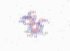 CCCC[C@@H](C(=O)N1C[C@H](O)C[C@@H]1C(=O)N[C@@H](CC(=O)O)C(=O)N[C@H](C(=O)N(C)[C@@H](Cc1ccccc1)C(=O)N[C@@H](CCCCN)C(=O)N1CC[C@@H](O)C1)C(C)C)N(C)C(=O)[C@H](Cc1ccccc1)N(C)C(=O)[C@H](Cc1ccc(F)c(F)c1)NC(=O)CSC[C@H](NC(=O)[C@H](CC(C)C)NC(=O)[C@H](Cc1ccc(O)cc1)NC(=O)[C@H](Cc1c[nH]c2ccccc12)NC=O)C(=O)NCC(N)=O